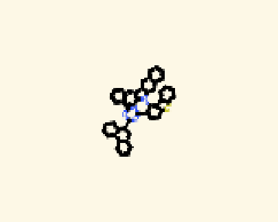 c1ccc(-c2nc(-c3ccc4sc5ccccc5c4c3-n3c4ccccc4c4cc5ccccc5cc43)nc(-c3cc4ccccc4c4ccccc34)n2)cc1